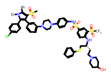 CCn1c(-c2ccc(Cl)cc2)c(-c2cccc(N3CCN(c4ccc(NS(=O)(=O)c5ccc(N[C@H](CCN6CCC(O)CC6)CSc6ccccc6)c(S(=O)(=O)C(F)(F)F)c5)cc4)CC3)c2)c(S(C)(=O)=O)c1C(C)C